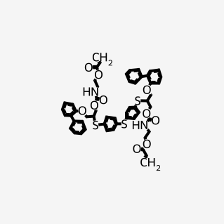 C=CC(=O)OCCNC(=O)OCC(COc1ccccc1-c1ccccc1)Sc1ccc(Sc2ccc(SC(COC(=O)NCCOC(=O)C=C)COc3ccccc3-c3ccccc3)cc2)cc1